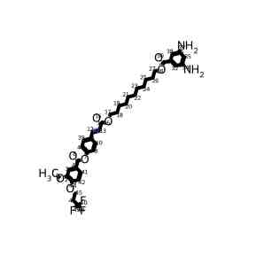 COc1cc(C(=O)Oc2ccc(/C=C/C(=O)OCCCCCCCCCCCOC(=O)c3cc(N)cc(N)c3)cc2)ccc1OCCC(F)(F)F